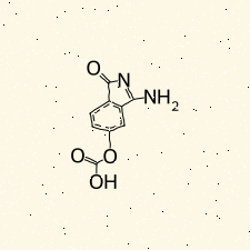 NC1=NC(=O)c2ccc(OC(=O)O)cc21